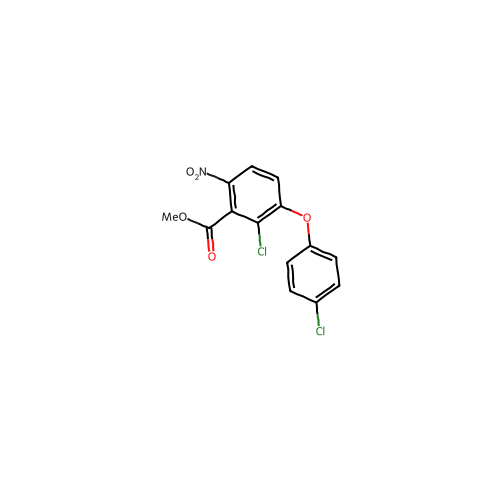 COC(=O)c1c([N+](=O)[O-])ccc(Oc2ccc(Cl)cc2)c1Cl